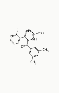 CCC[C@H](NN(C(=O)c1cc(C)cc(C)c1)C(=O)c1cccnc1Cl)C(C)(C)C